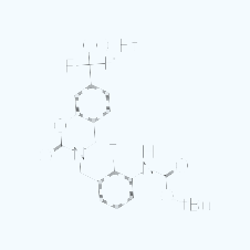 CCOC(=O)C(F)(F)c1ccc2c(c1)OC(=O)N(Cc1cccc(NC(=O)OC(C)(C)C)c1F)C2